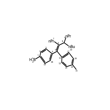 Bc1ccc(/C(=C(\CCC)C(CCC)CCCC)c2ccc(C)cc2)cc1